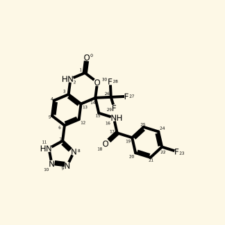 O=C1Nc2ccc(-c3nnn[nH]3)cc2C(CNC(=O)c2ccc(F)cc2)(C(F)(F)F)O1